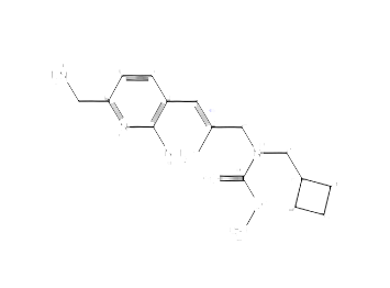 C/C(=C\c1ccc(CN)nc1N)CN(CC1CCC1)C(=O)OC(C)(C)C